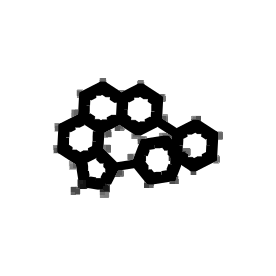 c1ccc(-c2ccc3ccc4ccc5onc(-c6ccccc6)c5c4c3c2)cc1